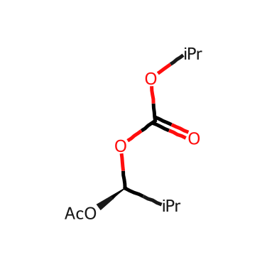 CC(=O)O[C@@H](OC(=O)OC(C)C)C(C)C